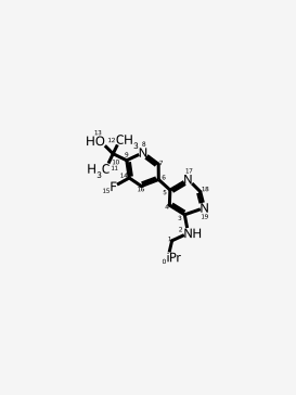 CC(C)CNc1cc(-c2cnc(C(C)(C)O)c(F)c2)ncn1